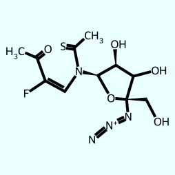 CC(=O)/C(F)=C\N(C(C)=S)[C@@H]1O[C@@](CO)(N=[N+]=[N-])C(O)[C@@H]1O